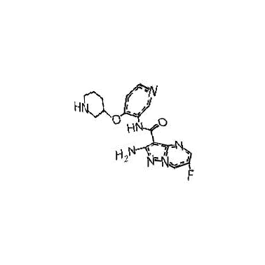 Nc1nn2cc(F)cnc2c1C(=O)Nc1cnccc1OC1CCCNC1